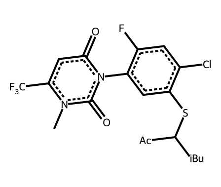 CCC(C)C(Sc1cc(-n2c(=O)cc(C(F)(F)F)n(C)c2=O)c(F)cc1Cl)C(C)=O